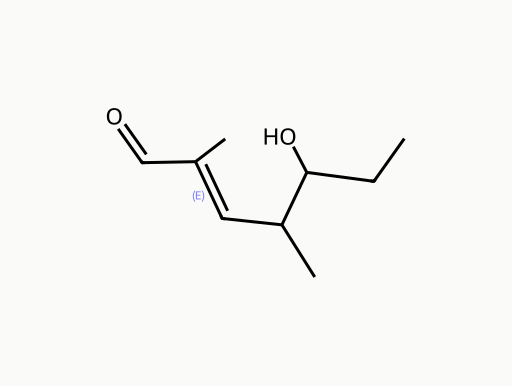 CCC(O)C(C)/C=C(\C)C=O